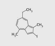 CCc1ccc(C)c2cc(I)c(C)c-2c1